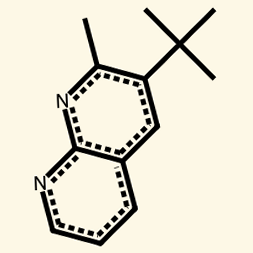 Cc1nc2ncccc2cc1C(C)(C)C